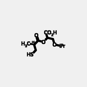 CC(C)OCC(OC(=O)[C@H](C)CS)C(=O)O